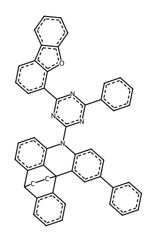 c1ccc(-c2ccc3c(c2)C24CCC(c5ccccc52)c2cccc(c24)N3c2nc(-c3ccccc3)nc(-c3cccc4c3oc3ccccc34)n2)cc1